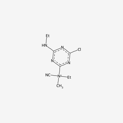 CCNc1nc(Cl)nc([N+](C)(C#N)CC)n1